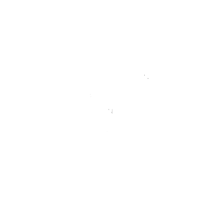 O=c1[nH]ccc2c1ccn2-c1cccnc1